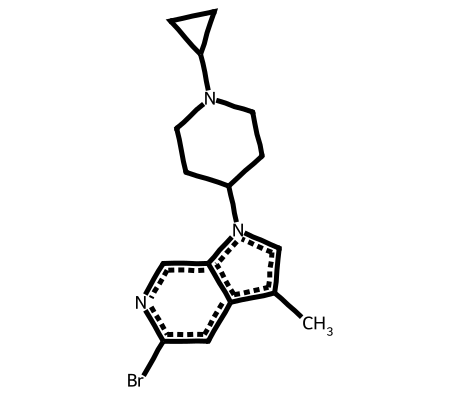 Cc1cn(C2CCN(C3CC3)CC2)c2cnc(Br)cc12